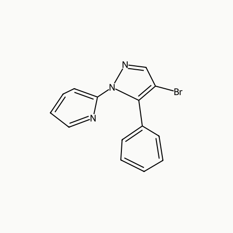 Brc1cnn(-c2ccccn2)c1-c1ccccc1